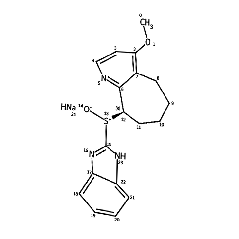 COc1ccnc2c1CCCC[C@H]2[S+]([O-])c1nc2ccccc2[nH]1.[NaH]